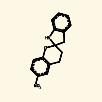 O=[N+]([O-])c1ccc2c(c1)CCC1(Cc3ccccc3N1)O2